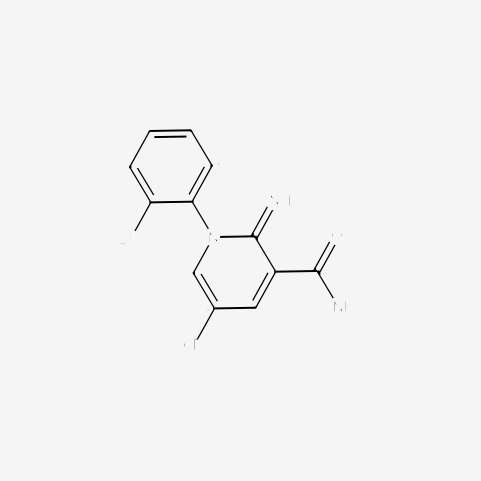 CCc1ccccc1-n1cc(Cl)cc(C(N)=O)c1=N